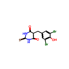 O=C1NC(=S)NC(=O)C1Cc1cc(Br)c(O)c(Br)c1